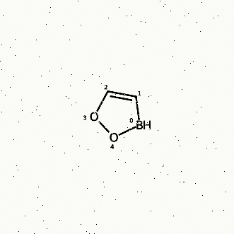 B1C=COO1